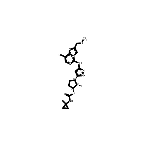 CC1(NC(=O)O[C@H]2CC[C@@H](c3cc(Nc4ncc(Cl)c5nc(COC(F)(F)F)cn45)n[nH]3)[C@@H]2F)CC1